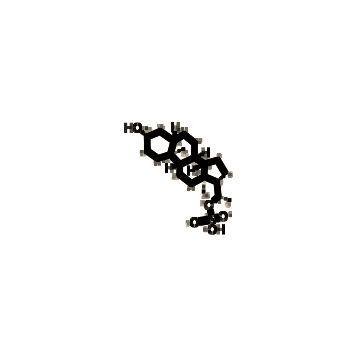 C[C@H](OS(=O)(=O)O)[C@H]1CC[C@H]2[C@@H]3CC[C@H]4C[C@@H](O)CC[C@]4(C)[C@H]3CC[C@]12C